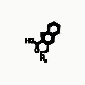 CCc1cc2ccccc2nc1C(=O)O